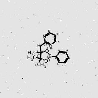 CC1(C)OB(c2ccccc2)OC1(C)Cc1ncccn1